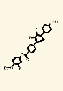 CCOc1ccc(OC(=O)c2ccc(-c3ccc(C4CCC(OC)CC4)c(F)c3F)cc2)cc1F